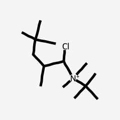 CC(CC(C)(C)C)C(Cl)[N+](C)(C)C(C)(C)C